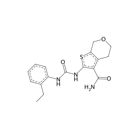 CCc1ccccc1NC(=O)Nc1sc2c(c1C(N)=O)CCOC2